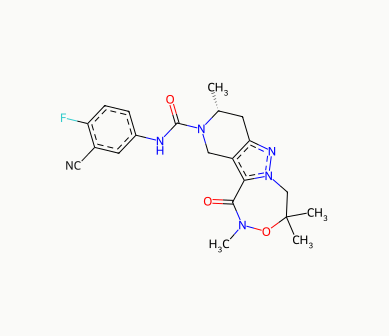 C[C@@H]1Cc2nn3c(c2CN1C(=O)Nc1ccc(F)c(C#N)c1)C(=O)N(C)OC(C)(C)C3